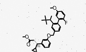 COC(=O)C[C@H](c1cccc(OCc2ccc(-c3cc(OC)ccc3F)c(C(C)C(C)(C)C)c2)c1)C1CC1